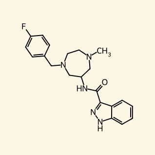 CN1CCN(Cc2ccc(F)cc2)CC(NC(=O)c2n[nH]c3ccccc23)C1